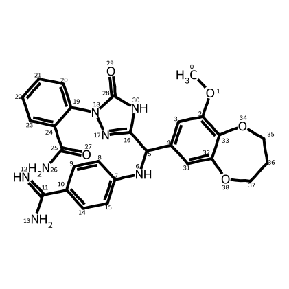 COc1cc(C(Nc2ccc(C(=N)N)cc2)c2nn(-c3ccccc3C(N)=O)c(=O)[nH]2)cc2c1OCCCO2